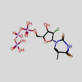 Cc1cn([C@H]2O[C@@H](COP(=O)(O)OP(=O)(O)OP(=O)(O)O)C(O)[C@H]2Cl)c(=S)[nH]c1=S